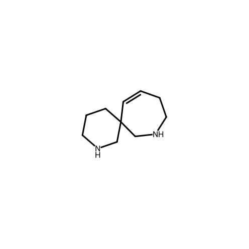 C1=CC2(CCCNC2)CNCC1